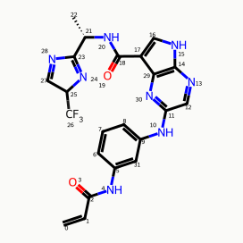 C=CC(=O)Nc1cccc(Nc2cnc3[nH]cc(C(=O)N[C@@H](C)C4=NC(C(F)(F)F)C=N4)c3n2)c1